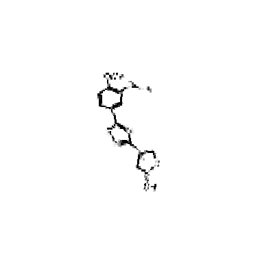 CCCOc1cc(-c2nc([C@H]3COB(O)C3)ns2)ccc1OC